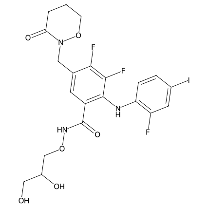 O=C(NOCC(O)CO)c1cc(CN2OCCCC2=O)c(F)c(F)c1Nc1ccc(I)cc1F